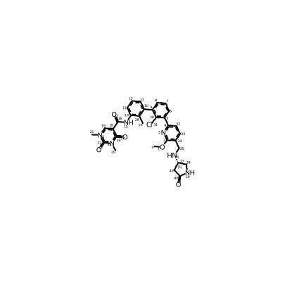 COc1nc(-c2cccc(-c3cccc(NC(=O)c4cn(C)c(=O)n(C)c4=O)c3C)c2Cl)ccc1CN[C@@H]1CNC(=O)C1